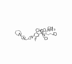 CNC(=O)C(CCC=O)N(C=O)C(=O)c1cc(F)c(N2CC(CN3CC(N4CCCCC4)C3)C2)cc1C